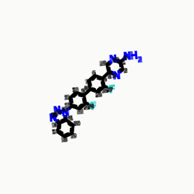 Nc1cnc(-c2ccc(-c3ccc(-n4nnc5ccccc54)cc3F)cc2F)cn1